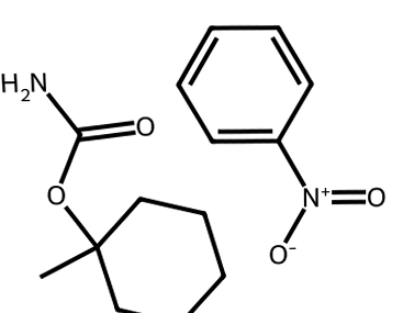 CC1(OC(N)=O)CCCCC1.O=[N+]([O-])c1ccccc1